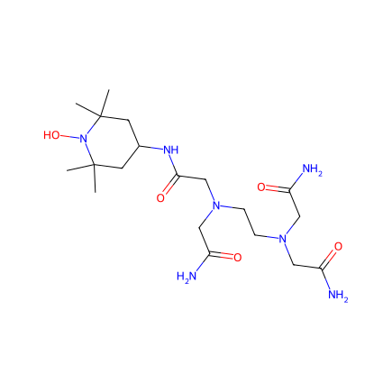 CC1(C)CC(NC(=O)CN(CCN(CC(N)=O)CC(N)=O)CC(N)=O)CC(C)(C)N1O